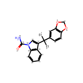 CCC(CC)(c1ccc2c(c1)OCO2)c1cn(C(N)=O)c2[c]cccc12